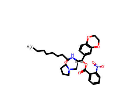 CCCCCCCC(=O)N[C@H](CN1CCCC1)[C@H](OC(=O)c1ccccc1[N+](=O)[O-])c1ccc2c(c1)OCCO2